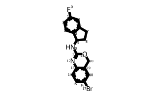 Fc1ccc2c(c1)CCC2NC1=Nc2ccc(Br)cc2CO1